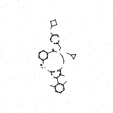 Cc1cccc(C)c1-c1nc2nc(c1F)OC[C@@H](CC1CC1)N(Cc1ncc(OC3CCC3)cn1)C(=O)c1cccc(c1)S(=O)(=O)N2